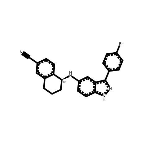 N#Cc1ccc2c(c1)CCC[C@@H]2Nc1ccc2[nH]nc(-c3ccc(Br)cc3)c2c1